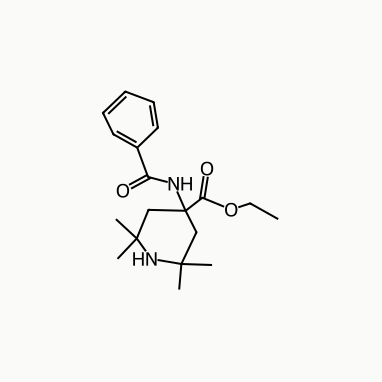 CCOC(=O)C1(NC(=O)c2ccccc2)CC(C)(C)NC(C)(C)C1